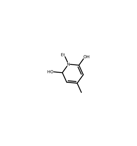 CCN1C(O)=CC(C)=CC1O